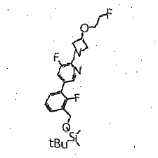 CC(C)(C)[Si](C)(C)OCc1cccc(-c2cnc(N3CC(OCCF)C3)c(F)c2)c1F